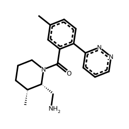 Cc1ccc(-c2cccnn2)c(C(=O)N2CCC[C@@H](C)[C@H]2CN)c1